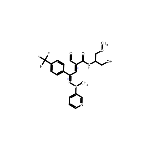 COCC(CO)NC(=O)/C(C=O)=C/C(=N\N(C)c1cccnc1)c1ccc(C(F)(F)F)cc1